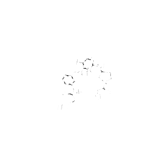 C=CC(=O)Nc1cccc(CNc2nc(N[C@H]3CCN(C(=O)CC)C3)ncc2Cl)c1